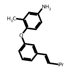 Cc1cc(N)ccc1Oc1cccc(C=CC(C)C)c1